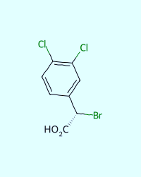 O=C(O)[C@@H](Br)c1ccc(Cl)c(Cl)c1